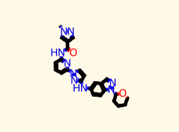 Cn1cc(C(=O)Nc2cccc(-n3ccc(Nc4ccc5c(cnn5C5CCCCO5)c4)n3)n2)cn1